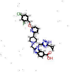 O=C(O)c1ccc2nc(CN3CCC(c4cccc(OCc5ccc(Cl)cc5F)n4)CC3)n(Cc3n[nH]c(C4CC4)n3)c2c1